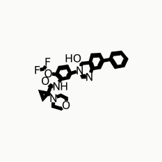 O=C(Nc1cc(N2C=Nc3cc(-c4ccccc4)ccc3C2O)ccc1OC(F)F)C1(N2CCOCC2)CC1